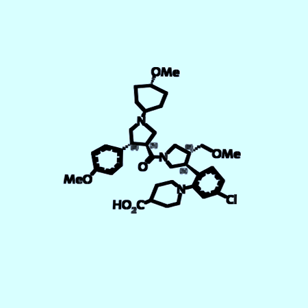 COC[C@H]1CN(C(=O)[C@@H]2CN([C@H]3CC[C@H](OC)CC3)C[C@H]2c2ccc(OC)cc2)C[C@@H]1c1ccc(Cl)cc1N1CCC(C(=O)O)CC1